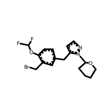 FC(F)Oc1ccc(Cc2ccnn2C2CCCCO2)cc1CBr